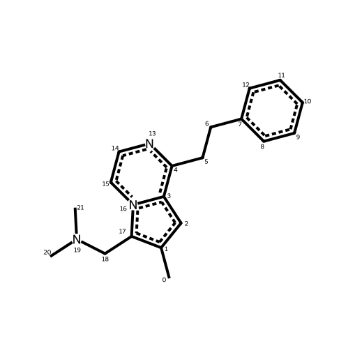 Cc1cc2c(CCc3ccccc3)nccn2c1CN(C)C